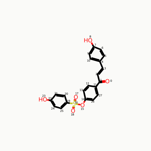 O=C(C=Cc1ccc(O)cc1)c1ccc(OS(=O)(=O)c2ccc(O)cc2)cc1